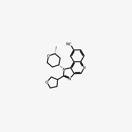 C[C@@H]1C[C@H](n2c(C3CCOC3)nc3cnc4ccc(C#N)cc4c32)CCO1